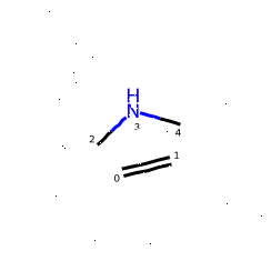 C=C.CNC